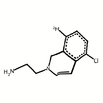 [2H]c1ccc(Cl)c2c1CN(CCN)C=C2